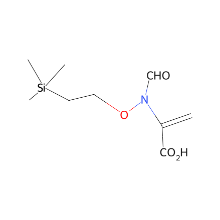 C=C(C(=O)O)N(C=O)OCC[Si](C)(C)C